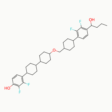 CCCC(O)c1ccc(C2CCC(COC3CCC(C4CCC(c5ccc(O)c(F)c5F)CC4)CC3)CC2)c(F)c1F